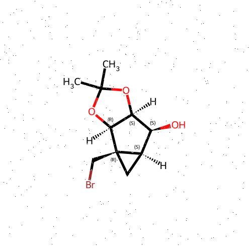 CC1(C)O[C@H]2[C@@H](O)[C@H]3C[C@]3(CBr)[C@H]2O1